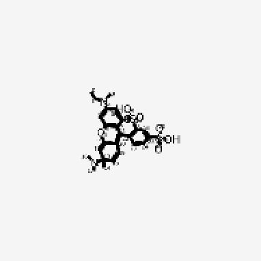 CCN(C)c1ccc2c(c1)OC1=CC(C)(N(C)C)C=CC1=C2c1ccc(S(=O)(=O)O)cc1S(=O)(=O)O